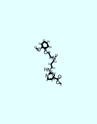 COC(=O)c1ccnc(NCCCN(C)CCOc2ccccc2OC)n1